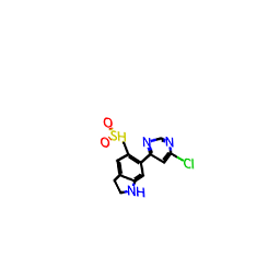 O=[SH](=O)Cc1cc2c(cc1-c1cc(Cl)ncn1)NCC2